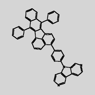 c1ccc(-c2c3c(c(-c4ccccc4)c4ccccc24)-c2ccc(-c4ccc(-n5c6ccncc6c6ccncc65)cc4)c4cccc-3c24)cc1